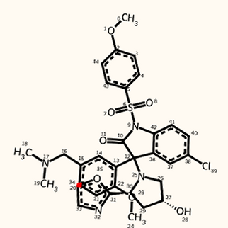 COc1ccc(S(=O)(=O)N2C(=O)C(c3cc(CN(C)C)ccc3OC)(N3C[C@H](O)C[C@H]3c3ncco3)c3cc(Cl)ccc32)cc1